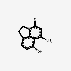 Cc1cc(=O)n2c3c(ccc(O)c13)CC2